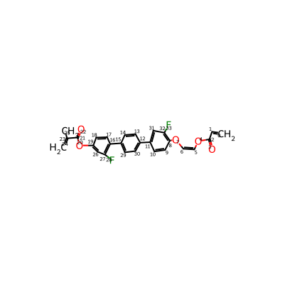 C=CC(=O)O/C=C\Oc1ccc(-c2ccc(-c3ccc(OC(=O)C(=C)C)cc3F)cc2)cc1F